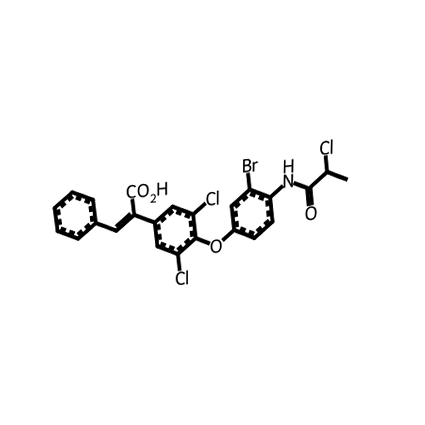 CC(Cl)C(=O)Nc1ccc(Oc2c(Cl)cc(C(=Cc3ccccc3)C(=O)O)cc2Cl)cc1Br